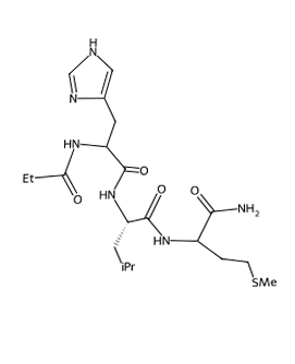 CCC(=O)NC(Cc1c[nH]cn1)C(=O)N[C@@H](CC(C)C)C(=O)NC(CCSC)C(N)=O